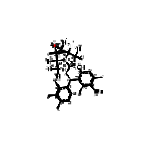 [2H]C([2H])([2H])C([2H])(N(C(C)C[C@H](c1ccc(C)c(C)c1C)c1c(O)cc(C)c(C(C)(C)C)c1C)C([2H])(C([2H])([2H])[2H])C([2H])(C)C)C([2H])([2H])C